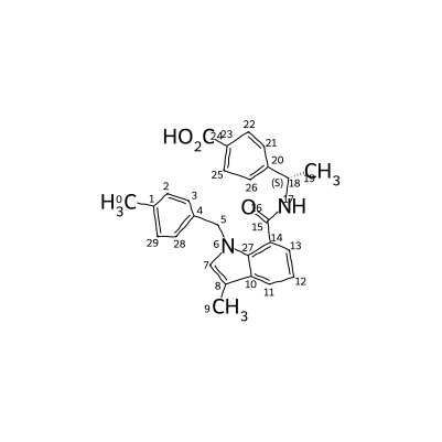 Cc1ccc(Cn2cc(C)c3cccc(C(=O)N[C@@H](C)c4ccc(C(=O)O)cc4)c32)cc1